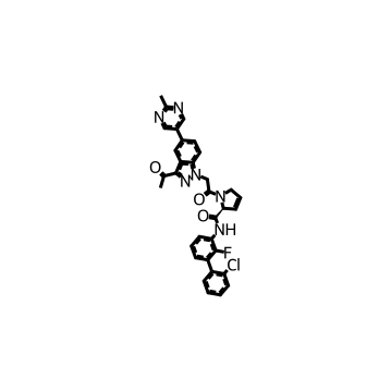 CC(=O)c1nn(CC(=O)N2CC=C[C@H]2C(=O)Nc2cccc(-c3ccccc3Cl)c2F)c2ccc(-c3cnc(C)nc3)cc12